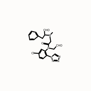 CN(CC(=O)N(CC=O)c1cc(Cl)ccc1-n1cnnn1)C(C=O)Cc1ccccc1